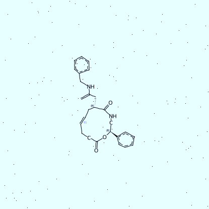 C=C(C[C@H]1C/C=C/CCC(=O)O[C@H](c2ccccc2)CNC1=O)NCc1ccccc1